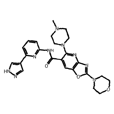 CN1CCN(c2nc3nc(N4CCOCC4)oc3cc2C(=O)Nc2cccc(-c3cn[nH]c3)n2)CC1